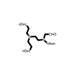 CCCCCCCCCCCCN(CCCCCCCCCCCC)CCN(CC=O)CCCCCCCCC